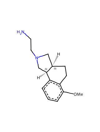 COc1cccc2c1CC[C@@H]1CN(CCN)C[C@H]21